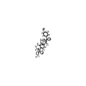 CCOC(=O)N1CCCc2nc(C(C)NC(=O)c3ccc(F)cc3)ccc21